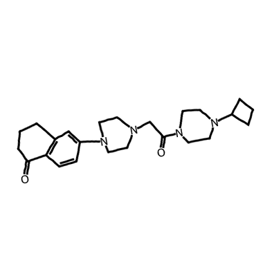 O=C1CCCc2cc(N3CCN(CC(=O)N4CCN(C5CCC5)CC4)CC3)ccc21